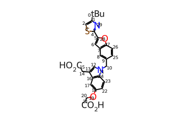 CC(C)(C)c1csc(-c2cc3cc(Cn4cc(CC(=O)O)c5cc(OCC(=O)O)ccc54)ccc3o2)n1